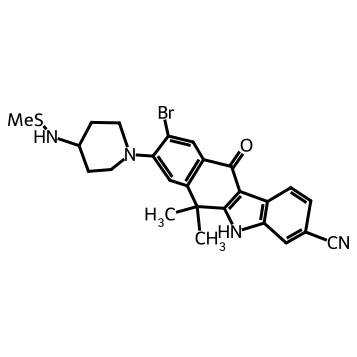 CSNC1CCN(c2cc3c(cc2Br)C(=O)c2c([nH]c4cc(C#N)ccc24)C3(C)C)CC1